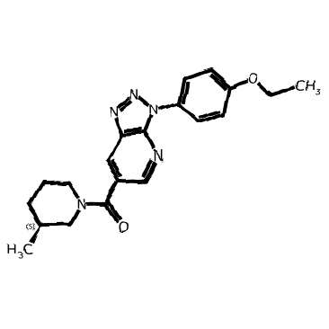 CCOc1ccc(-n2nnc3cc(C(=O)N4CCC[C@H](C)C4)cnc32)cc1